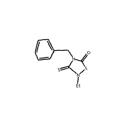 CCn1sc(=O)n(Cc2ccccc2)c1=S